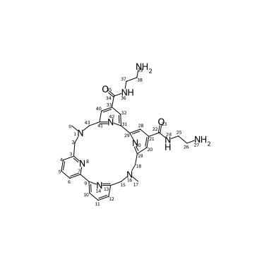 CN1Cc2cccc(n2)-c2cccc(n2)CN(C)Cc2cc(C(=O)NCCN)cc(n2)-c2cc(C(=O)NCCN)cc(n2)C1